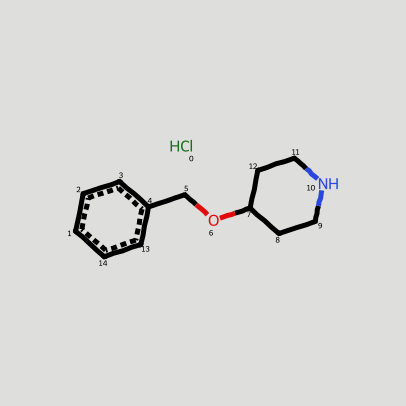 Cl.c1ccc(COC2CCNCC2)cc1